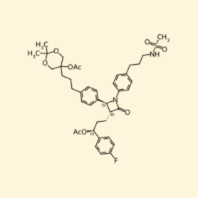 CC(=O)O[C@@H](CC[C@H]1C(=O)N(c2ccc(CCCNS(C)(=O)=O)cc2)[C@@H]1c1ccc(CCCC2(OC(C)=O)COC(C)(C)OC2)cc1)c1ccc(F)cc1